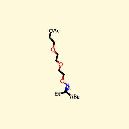 CCCC/C(CC)=N/OCCOCCOCCOC(C)=O